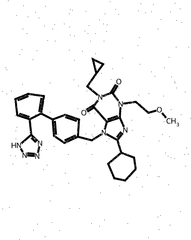 COCCn1c(=O)n(CC2CC2)c(=O)c2c1nc(C1CCCCC1)n2Cc1ccc(-c2ccccc2-c2nnn[nH]2)cc1